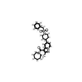 O=C(c1c(C(F)(F)F)nn2ccc(C3CCN(S(=O)(=O)Cc4ccccc4)CC3)cc12)N1CCCCCC1